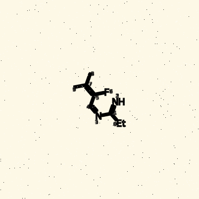 CCC(=N)/N=C\C(F)=C(C)C